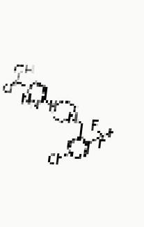 O=C(O)c1ccc(N2CCN(Cc3cc(Cl)ccc3C(F)(F)F)CC2)nn1